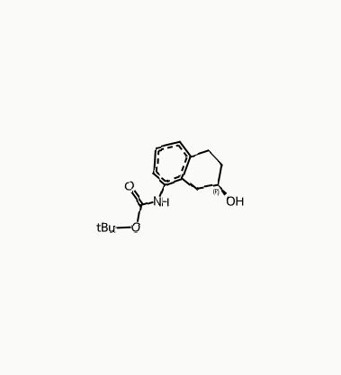 CC(C)(C)OC(=O)Nc1cccc2c1C[C@H](O)CC2